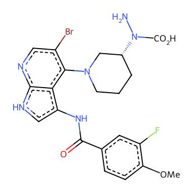 COc1ccc(C(=O)Nc2c[nH]c3ncc(Br)c(N4CCC[C@@H](N(N)C(=O)O)C4)c23)cc1F